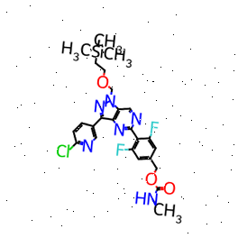 CNC(=O)OCc1cc(F)c(-c2ncc3c(n2)c(-c2ccc(Cl)nc2)nn3COCC[Si](C)(C)C)c(F)c1